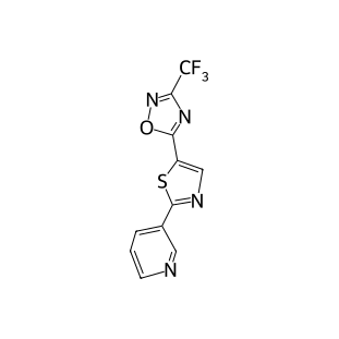 FC(F)(F)c1noc(-c2cnc(-c3cccnc3)s2)n1